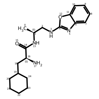 C[C@@H](CNc1nc2ccccc2o1)NC(=O)[C@@H](N)CC1CCCCC1